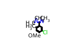 C/N=C(/c1cc(Cl)c(OC)cc1C)N(C)C